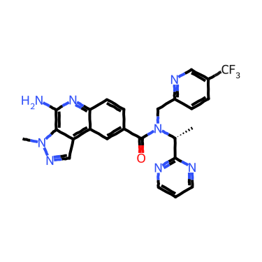 C[C@H](c1ncccn1)N(Cc1ccc(C(F)(F)F)cn1)C(=O)c1ccc2nc(N)c3c(cnn3C)c2c1